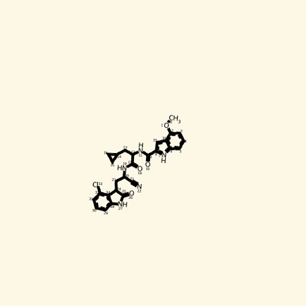 COc1cccc2[nH]c(C(=O)NC(CC3CC3)C(=O)NC(C#N)CC3C(=O)Nc4cccc(Cl)c43)cc12